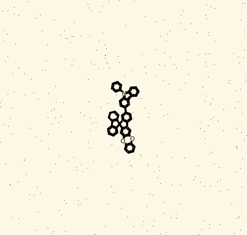 C1=CC2=C(CC1)c1ccccc1C21c2cc(-c3ccc4c(c3)c3ccccc3n4-c3ccccc3)ccc2-c2cc3c(cc21)Oc1ccccc1O3